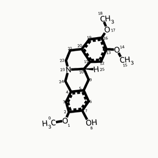 COc1cc2c(cc1O)C[C@H]1c3cc(OC)c(OC)cc3CCN1C2